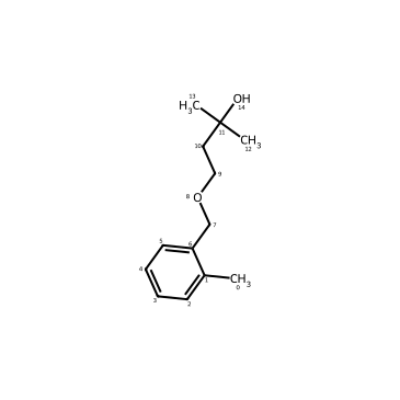 Cc1ccccc1COCCC(C)(C)O